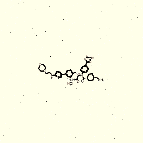 Cl.NC[C@H]1CC[C@H](C(=O)N(c2ccc(-c3nn[nH]n3)cc2)[C@@H](Cc2ccc(-c3ccc(NCCN4CCOCC4)nc3)cc2)C(N)=O)CC1